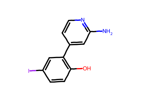 Nc1cc(-c2cc(I)ccc2O)ccn1